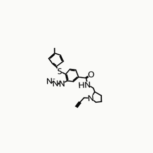 C#CCN1CCCC1CNC(=O)c1ccc(Sc2ccc(C)cc2)c(N=[N+]=[N-])c1